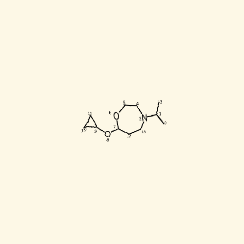 CC(C)N1CCOC(OC2CC2)CC1